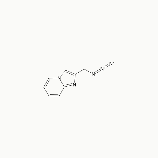 [N-]=[N+]=NCc1cn2ccccc2n1